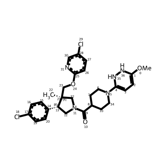 COC1=CC=C(N2CCC(C(=O)N3C[C@H](c4ccc(Cl)cc4)[C@@](C)(COc4ccc(Cl)cn4)C3)CC2)NN1